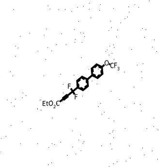 CCOC(=O)C#CC(F)(F)c1ccc(-c2ccc(OC(F)(F)F)cc2)cc1